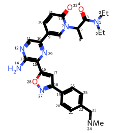 CCN(CC)C(=O)C(C)n1cc(-c2cnc(N)c(-c3cc(-c4ccc(CNC)cc4)no3)n2)ccc1=O